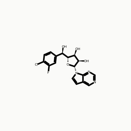 O[C@@H]1[C@H](O)[C@@H]([C@H](O)c2ccc(Cl)c(F)c2)O[C@H]1n1ccc2cncnc21